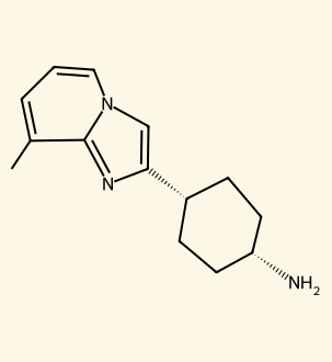 Cc1cccn2cc([C@H]3CC[C@@H](N)CC3)nc12